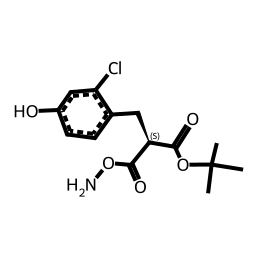 CC(C)(C)OC(=O)[C@H](Cc1ccc(O)cc1Cl)C(=O)ON